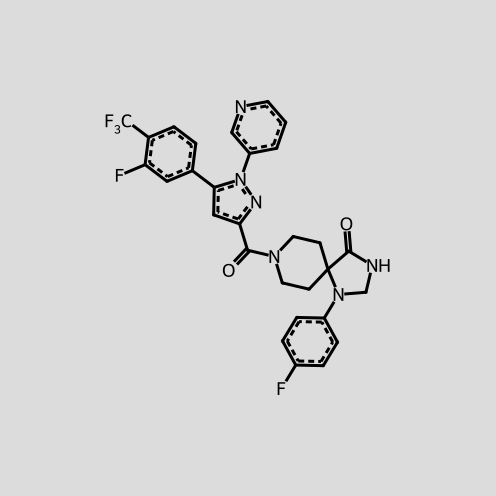 O=C(c1cc(-c2ccc(C(F)(F)F)c(F)c2)n(-c2cccnc2)n1)N1CCC2(CC1)C(=O)NCN2c1ccc(F)cc1